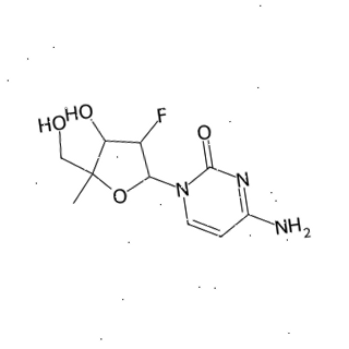 CC1(CO)OC(n2ccc(N)nc2=O)C(F)C1O